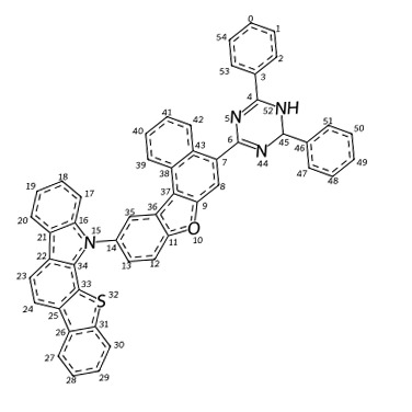 c1ccc(C2=NC(c3cc4oc5ccc(-n6c7ccccc7c7ccc8c9ccccc9sc8c76)cc5c4c4ccccc34)=NC(c3ccccc3)N2)cc1